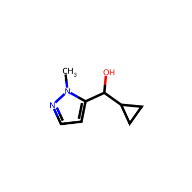 Cn1nccc1C(O)C1CC1